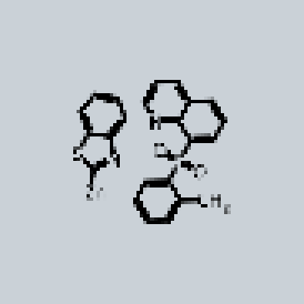 Cc1ccccc1S(=O)(=O)c1cccc2cccnc12.[Zn][c]1nc2ccccc2s1